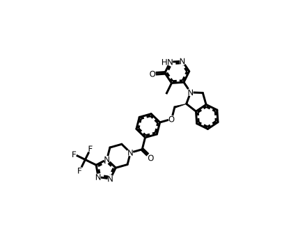 Cc1c(N2Cc3ccccc3[C@H]2COc2cccc(C(=O)N3CCn4c(nnc4C(F)(F)F)C3)c2)cn[nH]c1=O